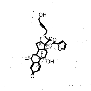 C[C@@H]1CC2C3C[C@H](F)C4=CC(=O)C=C[C@]4(C)[C@@]3(F)[C@@H](O)C[C@]2(C)[C@@]1(OC(=O)c1ccco1)C(=O)SCC#CCO